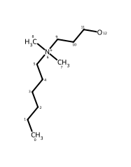 CCCCCC[N+](C)(C)CCC[O]